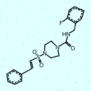 O=C(NCc1ccccc1F)N1CCN(S(=O)(=O)/C=C/c2ccccc2)CC1